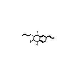 CCCC[C@H]1[C@H](I)NC2=CCC(C=N)C=C2[C@H]1C